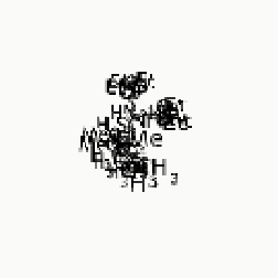 CCO[Si](CCCNC(NCCC[Si](OCC)(OCC)OCC)[SiH2]CCc1ccc([SiH](C)C)c([SiH](C)C)c1C(C)[Si](OC)(OC)OC)(OCC)OCC